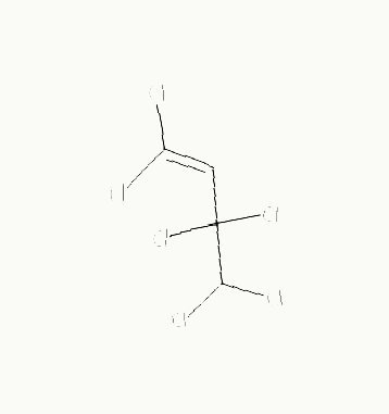 ClC(Cl)=CC(Cl)(Cl)C(Cl)Cl